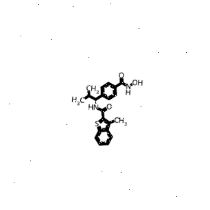 Cc1c(C(=O)N[C@@H](c2ccc(C(=O)NO)cc2)C(C)C)sc2ccccc12